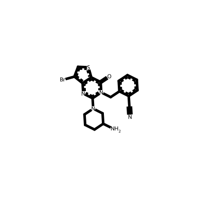 N#Cc1ccccc1Cn1c(N2CCCC(N)C2)nc2c(Br)csc2c1=O